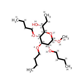 CCCCO[C@H]1[C@H](OCCCC)[C@@H]([C@H](O)CC)O[C@H](OC)[C@@H]1OCCCC